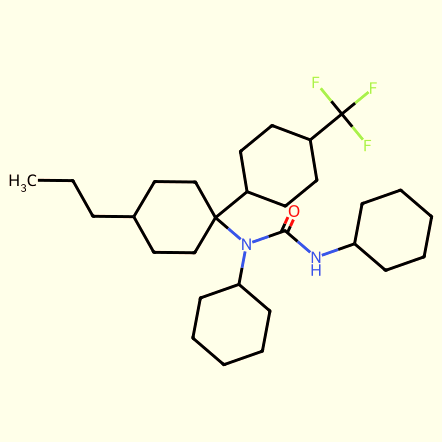 CCCC1CCC(C2CCC(C(F)(F)F)CC2)(N(C(=O)NC2CCCCC2)C2CCCCC2)CC1